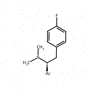 CC(=O)[C@H](Cc1ccc(F)cc1)N(C)C